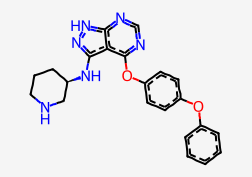 c1ccc(Oc2ccc(Oc3ncnc4[nH]nc(N[C@@H]5CCCNC5)c34)cc2)cc1